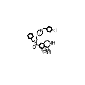 Cl.Cl.Cl.O=C(c1ccc2c(c1)CCNCC2)N(CCN1CCN(Cc2ccc(Cl)cc2)CC1)Cc1ccccc1